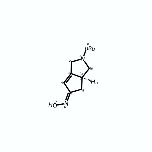 CCCCN1CC2=CC(=NO)C[C@@H]2C1